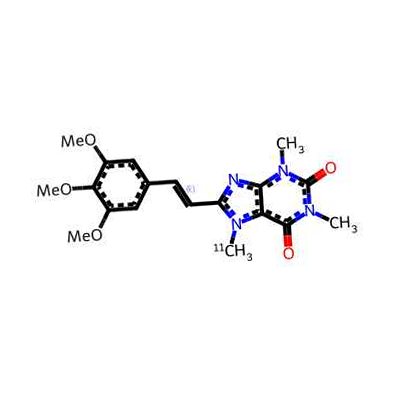 COc1cc(/C=C/c2nc3c(c(=O)n(C)c(=O)n3C)n2[11CH3])cc(OC)c1OC